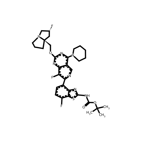 CC(C)(C)OC(=O)Nc1nc2c(-c3ncc4c(N5CCCCC5)nc(OC[C@@]56CCCN5C[C@H](F)C6)nc4c3F)ccc(F)c2s1